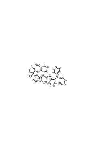 CC12C=CC=CC1N(c1c(C#N)cccc1-c1cccc3c1oc1c3ccc3c4ccccc4n(-c4ccccc4)c31)C1=C2C=CCC1